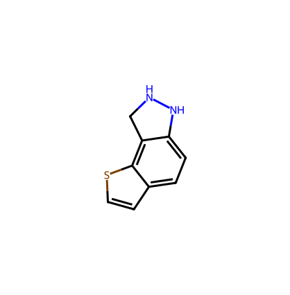 c1cc2ccc3c(c2s1)CNN3